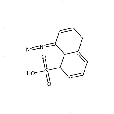 [N-]=[N+]=C1C=CCC2=CC=CC(S(=O)(=O)O)C21